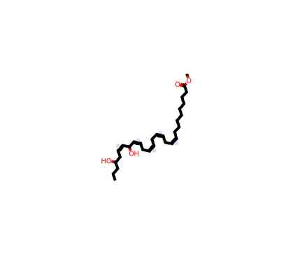 CCCC(O)C/C=C\C(O)/C=C\C/C=C\C/C=C\C/C=C\CCCCCCCCC(=O)OC